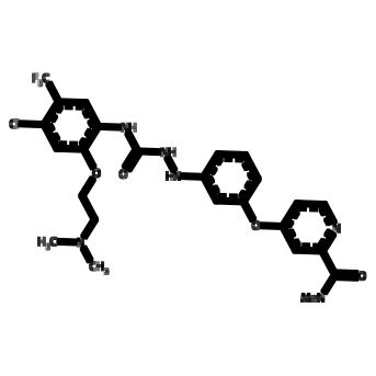 CNC(=O)c1cc(Oc2cccc(NNC(=O)Nc3cc(C(F)(F)F)c(Cl)cc3OCCN(C)C)c2)ccn1